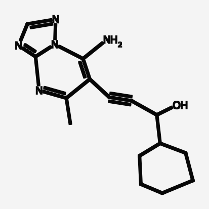 Cc1nc2ncnn2c(N)c1C#CC(O)C1CCCCC1